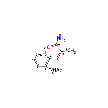 CC(=O)Nc1ccccc1C=C(C)C(N)=O